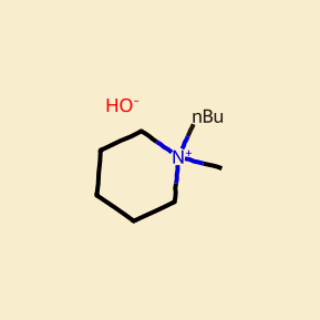 CCCC[N+]1(C)CCCCC1.[OH-]